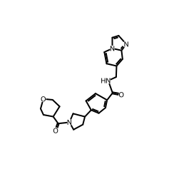 O=C(NCc1ccn2ccnc2c1)c1ccc(C2CCN(C(=O)C3CCOCC3)C2)cc1